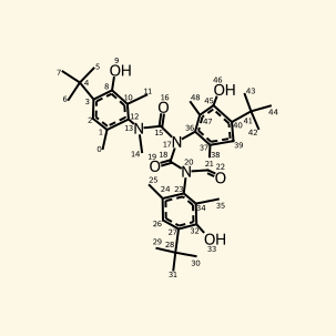 Cc1cc(C(C)(C)C)c(O)c(C)c1N(C)C(=O)N(C(=O)N(C=O)c1c(C)cc(C(C)(C)C)c(O)c1C)c1c(C)cc(C(C)(C)C)c(O)c1C